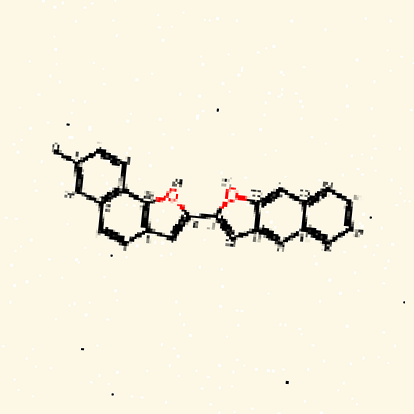 Cc1ccc2c(ccc3cc(-c4cc5cc6ccccc6cc5o4)oc32)c1